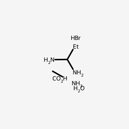 Br.CC(=O)O.CCC(N)N.N.O